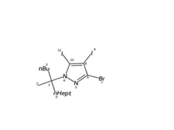 CCCCCCCC(C)(CCCC)n1nc(Br)c(I)c1I